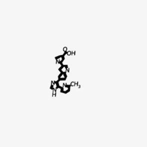 Cc1cccc(-c2[nH]cnc2-c2ccc3ncc(-c4cc(C(=O)O)ccn4)cc3c2)n1